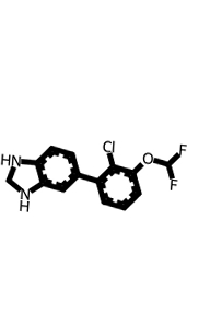 FC(F)Oc1cccc(-c2ccc3c(c2)NCN3)c1Cl